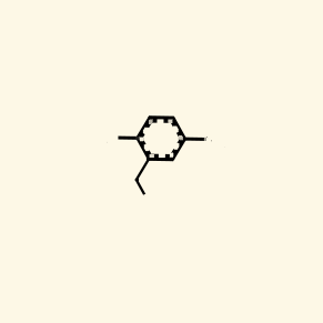 Cc1ccc(N)cc1CO